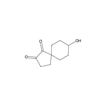 O=C1CCC2(CCC(O)CC2)C1=O